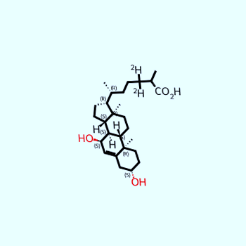 [2H]C([2H])(CC[C@@H](C)[C@H]1CC[C@H]2[C@@H]3[C@H](O)C=C4C[C@@H](O)CC[C@]4(C)[C@H]3CC[C@]12C)C(C)C(=O)O